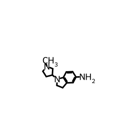 CN1CCC(N2CCc3cc(N)ccc32)C1